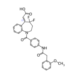 COc1ccccc1CC(=O)Nc1ccc(C(=O)N2CCC(F)(F)/C(=C\C(=O)O)c3ccccc32)cc1